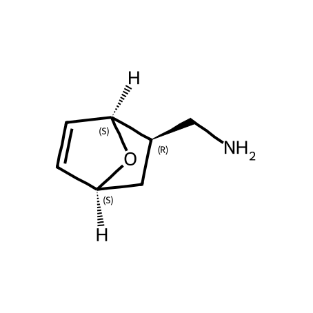 NC[C@H]1C[C@H]2C=C[C@@H]1O2